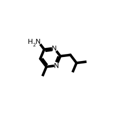 Cc1cc(N)nc(CC(C)C)n1